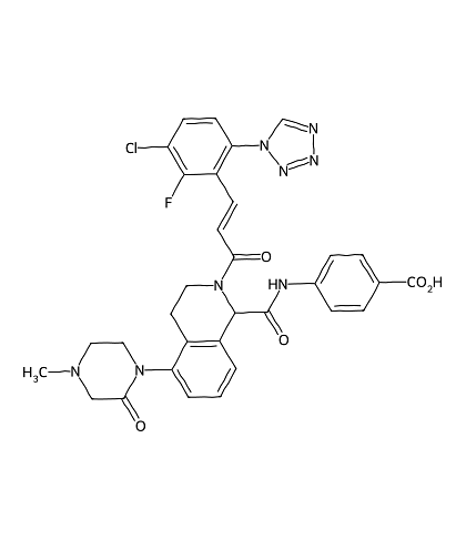 CN1CCN(c2cccc3c2CCN(C(=O)C=Cc2c(-n4cnnn4)ccc(Cl)c2F)C3C(=O)Nc2ccc(C(=O)O)cc2)C(=O)C1